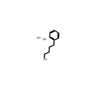 Cl.Cl.OCCCCc1ccccc1